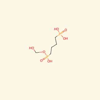 O=P(O)(O)CCCCP(=O)(O)OCO